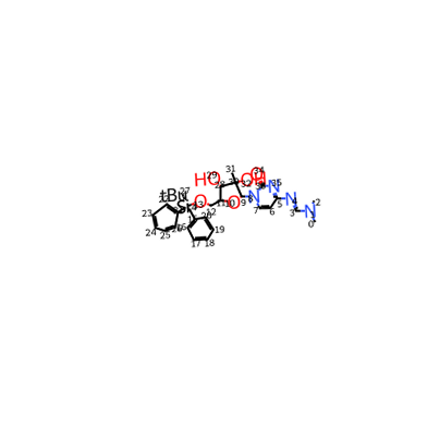 CN(C)C=Nc1ccn(C2OC(CO[Si](c3ccccc3)(c3ccccc3)C(C)(C)C)C(O)C2(C)O)c(=O)n1